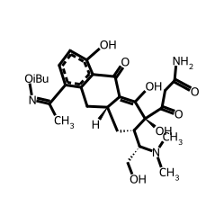 C/C(=N/OCC(C)C)c1ccc(O)c2c1C[C@H]1C[C@@H]([C@@H](CO)N(C)C)[C@@](O)(C(=O)CC(N)=O)C(O)=C1C2=O